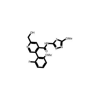 COc1nnc(NC(=O)c2cc(CO)ncc2-c2c(F)cccc2OC)s1